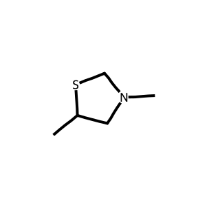 CC1CN(C)CS1